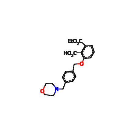 CCOC(=O)c1cccc(OCc2ccc(CN3CCOCC3)cc2)c1C(=O)O